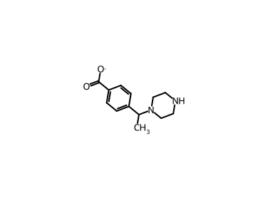 CC(c1ccc(C([O])=O)cc1)N1CCNCC1